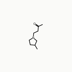 CC(=O)CCN1CCC(C)C1